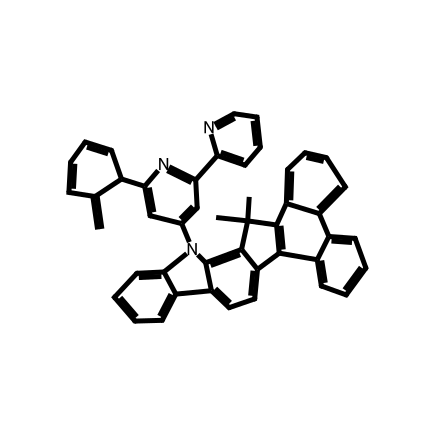 C=C1C=CC=CC1c1cc(-n2c3ccccc3c3ccc4c(c32)C(C)(C)c2c-4c3ccccc3c3ccccc23)cc(-c2ccccn2)n1